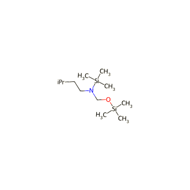 CC(C)CCN(CO[Si](C)(C)C)[Si](C)(C)C